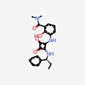 CC[C@H](Nc1c(Nc2cccc(C(=O)N(C)C)c2O)c(=O)c1=O)c1ccccc1